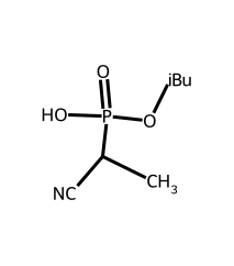 CCC(C)OP(=O)(O)C(C)C#N